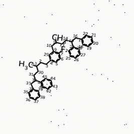 CC(CCc1ccc(F)c(CC(C)CCC(Cc2ccccc2)c2ccccc2)c1)CCC(Cc1ccccc1)c1ccccc1